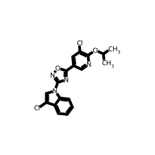 CC(C)Oc1ncc(-c2nc(-n3cc(Cl)c4ccccc43)no2)cc1Cl